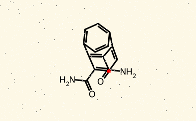 NC(=O)c1ccc2c(C(N)=O)c1-c1ccc-2cc1